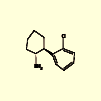 N[C@@H]1CCCC[C@H]1c1ccccc1Cl